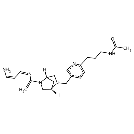 C=C(/N=C\C=C/N)N1C[C@@H]2C[C@H]1CN2Cc1ccc(CCCNC(C)=O)nc1